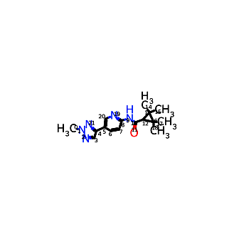 Cn1ncc(-c2ccc(NC(=O)C3C(C)(C)C3(C)C)nc2)n1